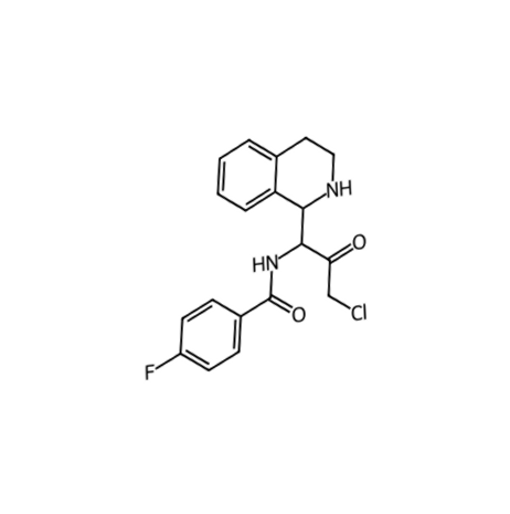 O=C(NC(C(=O)CCl)C1NCCc2ccccc21)c1ccc(F)cc1